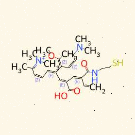 C=C/C(=C\C(=C/C(=C\C=C/C(C)=[N+](C)C)C(/C=C\CN(C)C)=C(/C)OC)C(=O)O)C(=O)NCCS